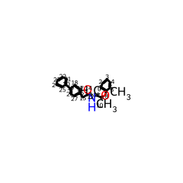 Cc1cccc(C)c1OC(C)CNC(=O)Cc1ccc(-c2ccccc2)cc1